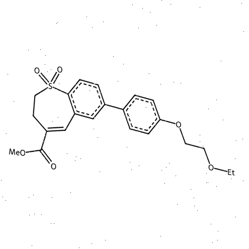 CCOCCOc1ccc(-c2ccc3c(c2)C=C(C(=O)OC)CCS3(=O)=O)cc1